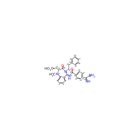 CN1c2ccccc2C(NC(=O)c2ccc(C(=N)N)cc2)N(CCc2ccccc2)C(=O)C1CC(=O)O